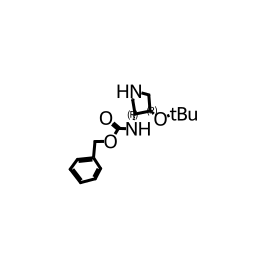 CC(C)(C)O[C@@H]1CNC[C@H]1NC(=O)OCc1ccccc1